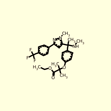 CCOC(=O)C(C)(C)Oc1ccc(C(C)(NC)c2cc(-c3ccc(C(F)(F)F)cc3)nn2C)cc1